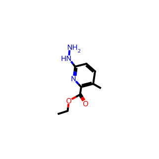 CCOC(=O)c1nc(NN)ccc1C